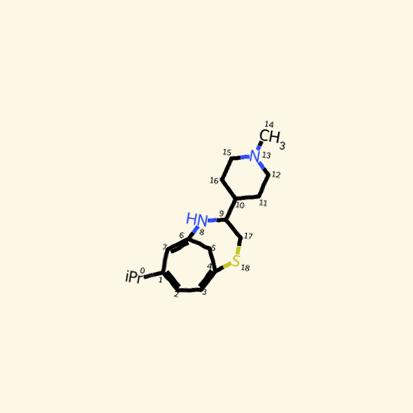 CC(C)C1=CC=C2CC(=C1)NC(C1CCN(C)CC1)CS2